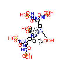 CC1(C)C(/C=C/C=C2/N(CCCCCC(=O)O)c3ccc(-c4cc(C(=O)NCCS(=O)(=O)O)nc(C(=O)NCCS(=O)(=O)O)c4)cc3C2(C)C)=[N+](CCCS(=O)(=O)O)c2ccc(-c3cc(C(=O)NCCS(=O)(=O)O)nc(C(=O)NCCS(=O)(=O)O)c3)cc21